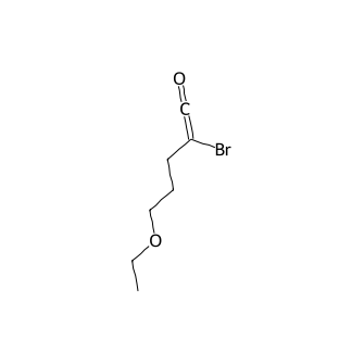 CCOCCCC(Br)=C=O